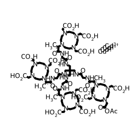 CC(=O)OC(=O)CN1CCN(CC(=O)O)CCN([C@H](C)C(=O)NCC(=O)NCC(CNC(=O)CNC(=O)[C@@H](C)N2CCN(CC(=O)O)CCN(CC(=O)O)CCN(CC(=O)O)CC2)(CNC(=O)CNC(=O)[C@@H](C)N2CCN(CC(=O)O)CCN(CC(=O)O)CCN(CC(=O)O)CC2)CNC(=O)CNC(=O)[C@@H](C)N2CCN(CC(=O)O)CCN(CC(=O)O)CCN(CC(=O)O)CC2)CCN(CC(=O)O)CC1.[Gd+3].[Gd+3].[Gd+3].[Gd+3]